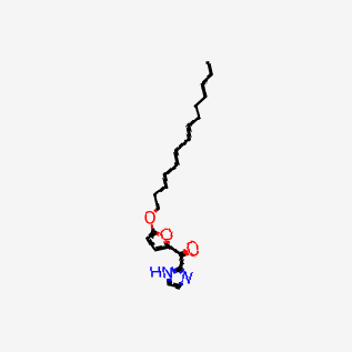 CCCCCCCCCCCCCCOc1ccc(C(=O)c2ncc[nH]2)o1